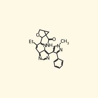 CCc1cc2ncnc(-c3cn(C)nc3-c3ccccc3)c2nc1C1OCC2CC21C(N)=O